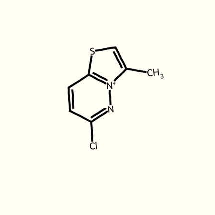 Cc1csc2ccc(Cl)n[n+]12